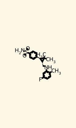 Cc1ccc(F)cc1NC[C@@H]1[C@@H](c2ccc(S(N)(=O)=O)cc2)C1(C)C